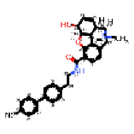 CN1CC[C@]23c4c5ccc(C(=O)NCCc6ccc(-c7ccc(C#N)cc7)cc6)c4O[C@H]2[C@@H](O)C=C[C@H]3[C@H]1C5